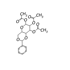 CC(=O)OC1OC2COC(c3ccccc3)OC2C(OC(C)=O)C1OC(C)=O